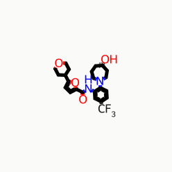 O=C(Nc1cc(C(F)(F)F)ccc1N1CCC[C@@H](O)CC1)c1ccc(C2CCOCC2)o1